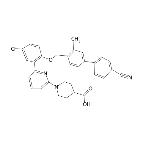 Cc1cc(-c2ccc(C#N)cc2)ccc1COc1ccc(Cl)cc1-c1cccc(N2CCC(C(=O)O)CC2)n1